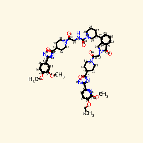 CCOc1ccc(-c2noc(C3CCN(C(=O)CN4Cc5c(cccc5C5CCCN(C(=O)NCC(=O)N6CCC(c7nc(-c8ccc(OC)c(OC)c8)no7)CC6)C5)C4=O)CC3)n2)nc1OC